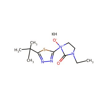 CCN1CC[N+]([O-])(c2nnc(C(C)(C)C)s2)C1=O.[KH]